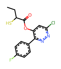 CCC(S)C(=O)Oc1cc(Cl)nnc1-c1ccc(F)cc1